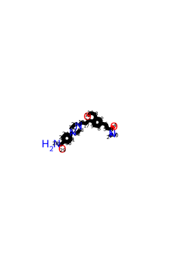 CN(C)C(=O)/C=C/c1ccc2c(c1)CCOC2CCN1CCN(c2ccc(C(N)=O)cc2)CC1